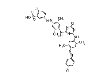 Cc1cc(Nc2nc(Cl)nc(Nc3cc(C)c(N=Nc4ccc(Cl)c(S(=O)(=O)O)c4)cc3C)n2)c(C)cc1N=Nc1ccc(Cl)cc1